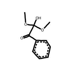 COC(O)(OC)C(=O)c1ccccc1